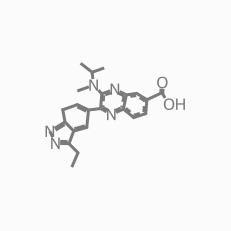 CCC1=NN=C2CC=C(c3nc4ccc(C(=O)O)cc4nc3N(C)C(C)C)C=C12